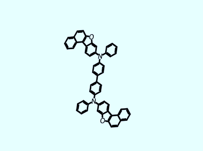 c1ccc(N(c2ccc(-c3ccc(N(c4ccccc4)c4ccc5c(c4)oc4ccc6ccccc6c45)cc3)cc2)c2ccc3c(c2)oc2ccc4ccccc4c23)cc1